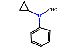 O=[C]N(c1ccccc1)C1CC1